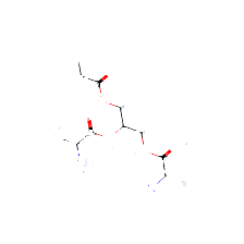 CC(C)[C@H](N)C(=O)OCC(COC(=O)CC(=O)O)OC(=O)[C@@H](N)C(C)C